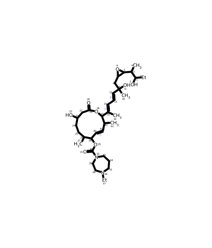 CCC(O)C(C)C1OC1CC(C)(O)/C=C/C=C(\C)C1OC(=O)CC(O)CCC(C)C(OC(=O)N2CCCN(CC)CC2)/C=C/C1C